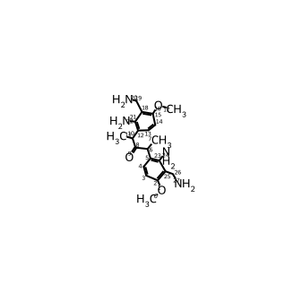 COc1ccc(C(C)C(=O)C(C)c2ccc(OC)c(CN)c2N)c(N)c1CN